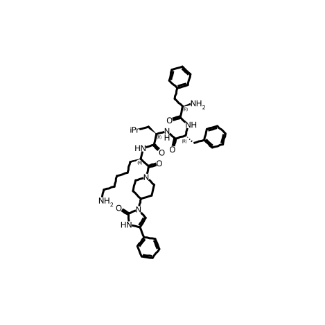 CC(C)C[C@@H](NC(=O)[C@@H](Cc1ccccc1)NC(=O)[C@H](N)Cc1ccccc1)C(=O)N[C@H](CCCCCN)C(=O)N1CCC(n2cc(-c3ccccc3)[nH]c2=O)CC1